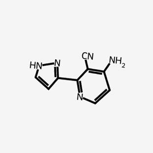 N#Cc1c(N)ccnc1-c1cc[nH]n1